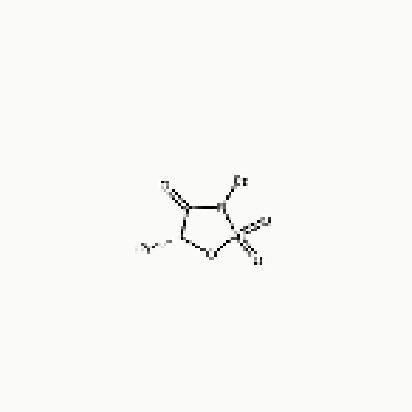 CCN1C(=O)[C@@H](C(C)C)OS1(=O)=O